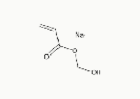 C=CC(=O)OCO.[Na]